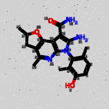 Cc1ccc(O)c(C)c1-n1c(N)c(C(N)=O)c2c3c(c(C)nc21)CC(C)O3